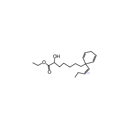 CC/C=C\C1(CCCCCC(O)C(=O)OCC)C=CCC=C1